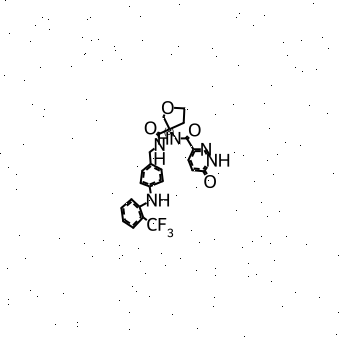 O=C(N[C@@]1(C(=O)NCc2ccc(Nc3ccccc3C(F)(F)F)cc2)CCOC1)c1ccc(=O)[nH]n1